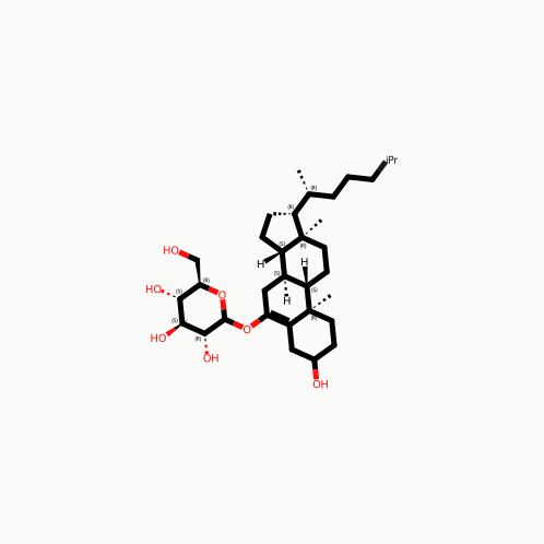 CC(C)CCC[C@@H](C)[C@H]1CC[C@H]2[C@@H]3CC(OC4O[C@H](CO)[C@@H](O)[C@H](O)[C@H]4O)=C4CC(O)CC[C@]4(C)[C@H]3CC[C@]12C